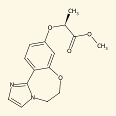 COC(=O)[C@H](C)Oc1ccc2c(c1)OCCn1ccnc1-2